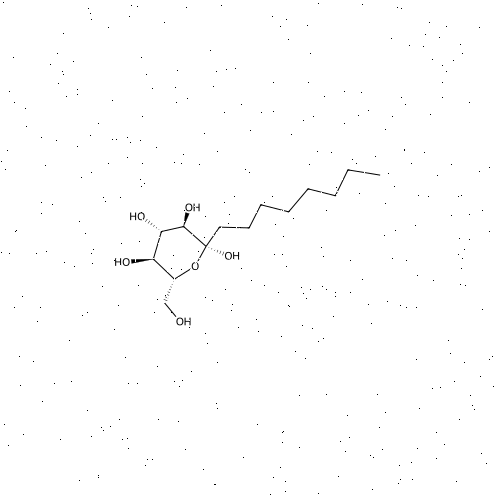 CCCCCCCC[C@@]1(O)O[C@H](CO)[C@@H](O)[C@H](O)[C@H]1O